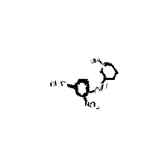 CC(C)(C)N1CCCC(Nc2ccc(C=O)cc2[N+](=O)[O-])C1